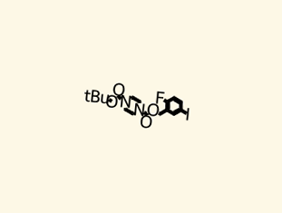 CC(C)(C)OC(=O)N1CCN(C(=O)OCc2cc(I)ccc2F)CC1